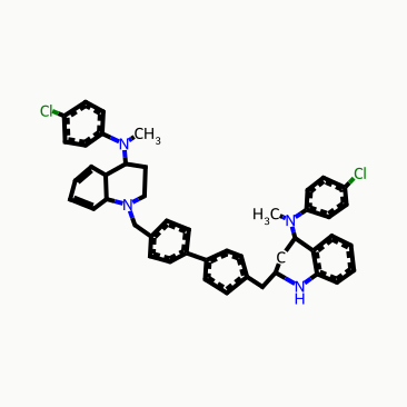 CN(c1ccc(Cl)cc1)C1CC(Cc2ccc(-c3ccc(CN4CCC(N(C)c5ccc(Cl)cc5)C5C=CC=CC54)cc3)cc2)Nc2ccccc21